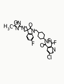 Cc1nc(N2CC3(C2)C(=O)N(CC2CCC(NC(=O)c4cc(Cl)cnc4C(F)F)CC2)c2cc(F)ccc23)no1